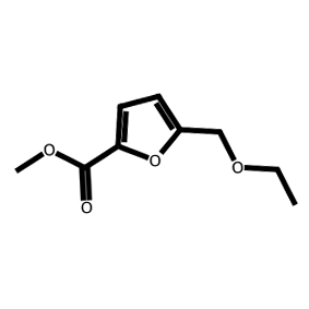 CCOCc1ccc(C(=O)OC)o1